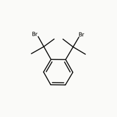 CC(C)(Br)c1ccccc1C(C)(C)Br